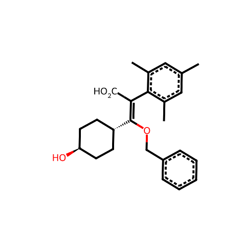 Cc1cc(C)c(/C(C(=O)O)=C(\OCc2ccccc2)[C@H]2CC[C@H](O)CC2)c(C)c1